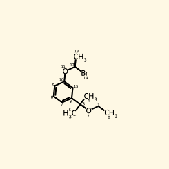 CCOC(C)(C)c1cccc(OC(C)Br)c1